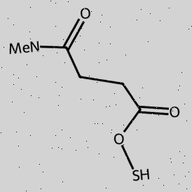 CNC(=O)CCC(=O)OS